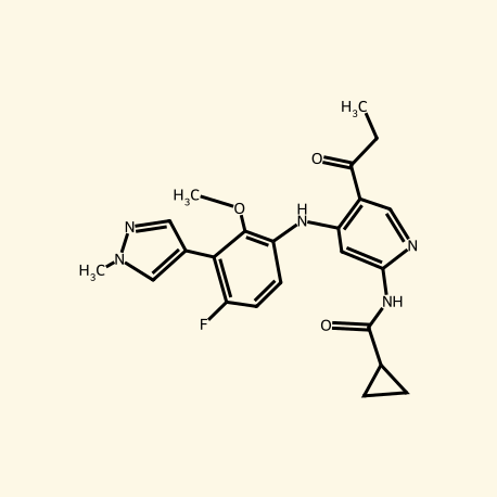 CCC(=O)c1cnc(NC(=O)C2CC2)cc1Nc1ccc(F)c(-c2cnn(C)c2)c1OC